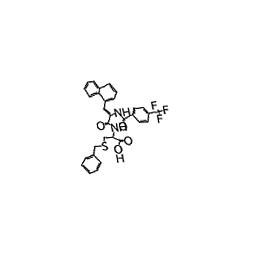 O=C(NC(CSCc1ccccc1)C(=O)O)C(=Cc1cccc2ccccc12)NC(=O)c1ccc(C(F)(F)F)cc1